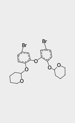 Brc1ccc(OC2CCCCO2)c(Oc2cc(Br)ccc2OC2CCCCO2)c1